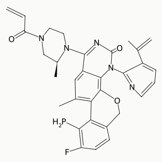 C=CC(=O)N1CCN(c2nc(=O)n(-c3ncccc3C(=C)C)c3c4c(c(C)cc23)-c2c(ccc(F)c2P)CO4)[C@@H](C)C1